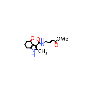 COC(=O)/C=C/CNC(=O)c1c(C)[nH]c2c1C(=O)CCC2